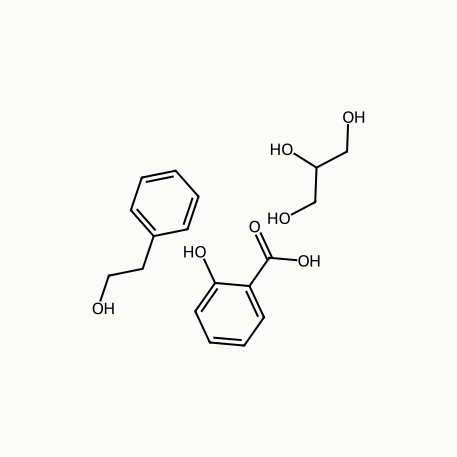 O=C(O)c1ccccc1O.OCC(O)CO.OCCc1ccccc1